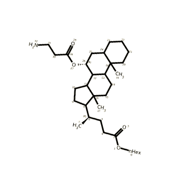 CCCCCCOC(=O)CC[C@@H](C)C1CCC2C3C(CCC21C)C1(C)CCCCC1C[C@H]3OC(=O)CCN